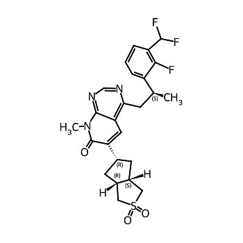 C[C@@H](Cc1ncnc2c1cc([C@@H]1C[C@@H]3CS(=O)(=O)C[C@@H]3C1)c(=O)n2C)c1cccc(C(F)F)c1F